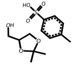 CC1(C)OCC(CO)O1.Cc1ccc(S(=O)(=O)O)cc1